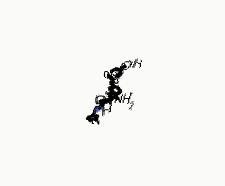 Nc1c(NC(=O)/C=C/c2cccnc2)sc2c1CCC(COC(=O)N1CCC(O)CC1)C2